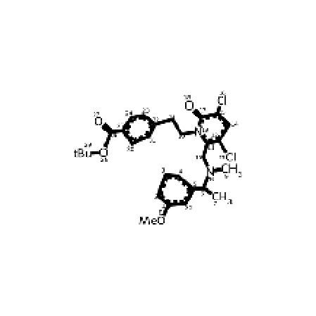 COc1cccc(C(C)N(C)Cc2c(Cl)cc(Cl)c(=O)n2CCc2ccc(C(=O)OC(C)(C)C)cc2)c1